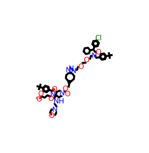 COC(=O)CCCN(C(=O)c1ccc(C(C)(C)C)cc1)C1(C(=O)NCCN2CCOCC2)CCN(C(=O)OCC2C3CCc4nnn(CCOCCOCCN(Cc5ccc(C(C)(C)C)cc5)C(=O)C(c5ccc(Cl)cc5)C5CCCCC5)c4CCC32)CC1